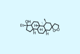 CC[C@]1(O)CC[C@H]2[C@@H]3CC[C@H]4CC5(CCOO5)C[C@H](C)[C@]4(C)[C@H]3CC[C@@]21C